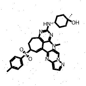 CNc1nc(N[C@H]2CC[C@](C)(O)CC2)nc2c1C(c1ccn3nccc3n1)=CC(S(=O)(=O)c1ccc(C)cc1)CC2